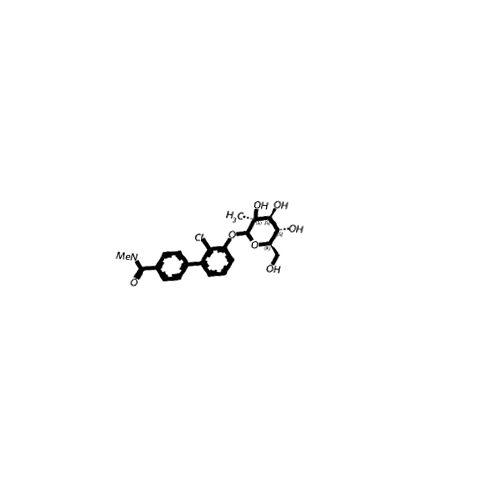 CNC(=O)c1ccc(-c2cccc(OC3O[C@H](CO)[C@@H](O)[C@H](O)[C@]3(C)O)c2Cl)cc1